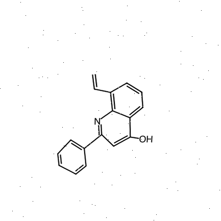 C=Cc1cccc2c(O)cc(-c3ccccc3)nc12